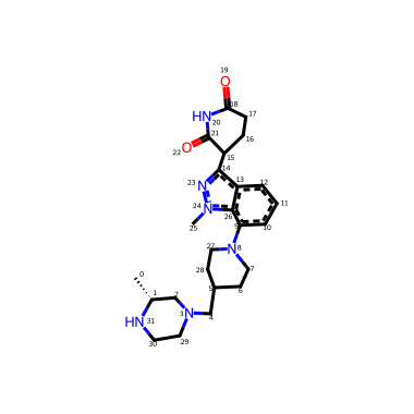 C[C@@H]1CN(CC2CCN(c3cccc4c(C5CCC(=O)NC5=O)nn(C)c34)CC2)CCN1